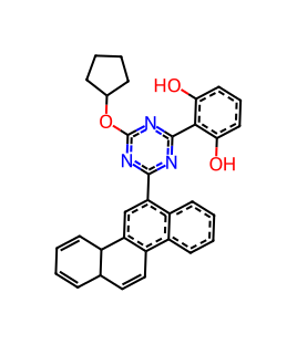 Oc1cccc(O)c1-c1nc(OC2CCCC2)nc(-c2cc3c(c4ccccc24)C=CC2C=CC=CC32)n1